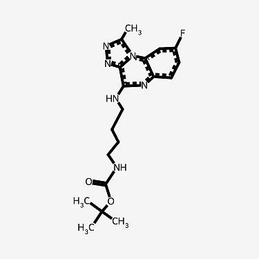 Cc1nnc2c(NCCCCNC(=O)OC(C)(C)C)nc3ccc(F)cc3n12